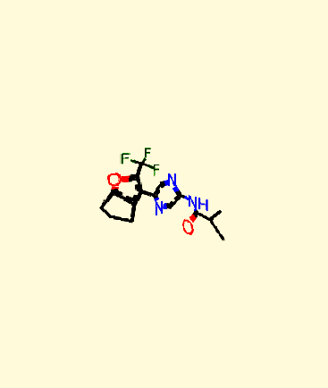 CC(C)C(=O)Nc1cnc(-c2c(C(F)(F)F)oc3c2CCC3)cn1